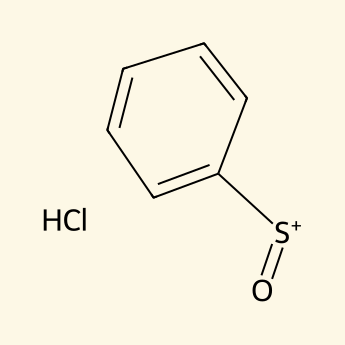 Cl.O=[S+]c1ccccc1